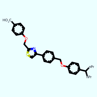 CCCC(CCC)c1ccc(OCc2ccc(-c3csc(COc4ccc(C(=O)O)cc4)n3)cc2)cc1